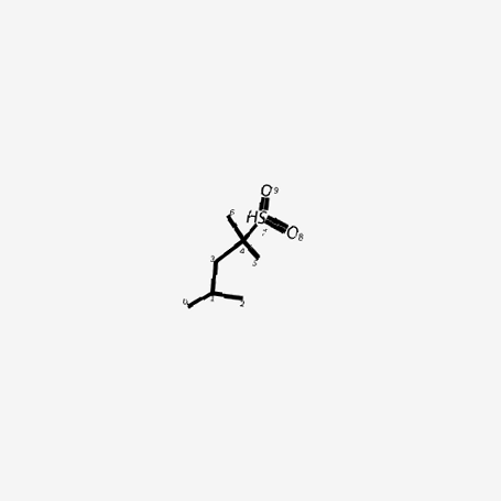 CC(C)CC(C)(C)[SH](=O)=O